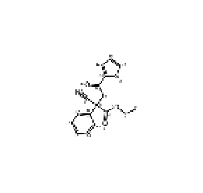 CCOC(=O)C(C#N)(CC(=O)c1cccs1)c1ccccc1